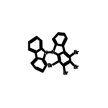 Brc1c(Br)c(Br)c2c(c1Br)c1ccccc1n2-n1c2ccccc2c2ccccc21